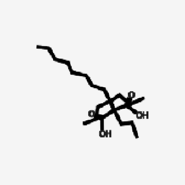 CCCCCCCCC(CCC)(CCC)C(CCC)(C(=O)O)C(=O)O